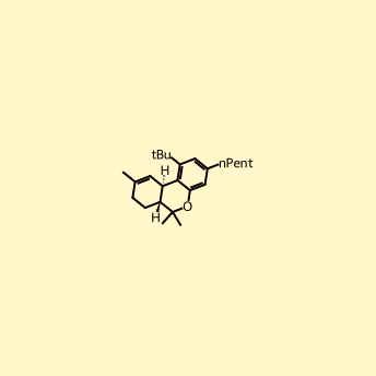 CCCCCc1cc2c(c(C(C)(C)C)c1)[C@@H]1C=C(C)CC[C@H]1C(C)(C)O2